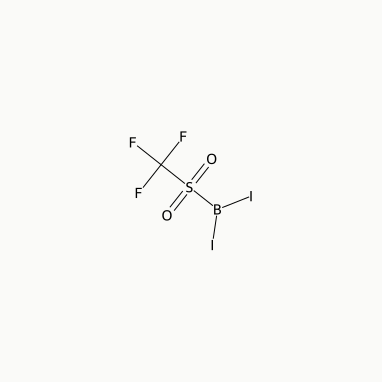 O=S(=O)(B(I)I)C(F)(F)F